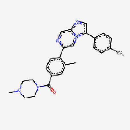 Cc1cc(C(=O)N2CCN(C)CC2)ccc1-c1cn2c(-c3ccc(C(F)(F)F)cc3)cnc2cn1